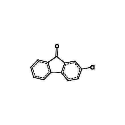 O=C1c2ccccc2-c2ccc(Cl)cc21